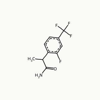 CC(C(N)=O)c1ccc(C(F)(F)F)cc1F